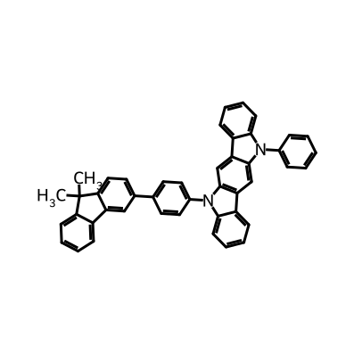 CC1(C)c2ccccc2-c2cc(-c3ccc(-n4c5ccccc5c5cc6c(cc54)c4ccccc4n6-c4ccccc4)cc3)ccc21